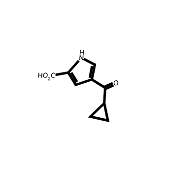 O=C(O)c1cc(C(=O)C2CC2)c[nH]1